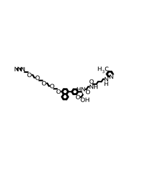 Cc1ccnc(NCCCCC(=O)NCC(=O)N[C@@H](CC(=O)O)c2ccc(-c3ccc(OCCOCCOCCOCCOCCN=[N+]=[N-])c4ccccc34)cc2)c1